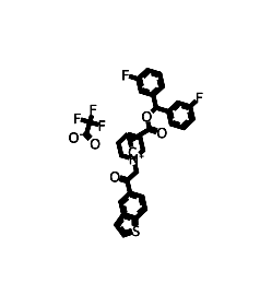 O=C(C[N+]12CCC(CC1)C(C(=O)OC(c1cccc(F)c1)c1cccc(F)c1)C2)c1ccc2sccc2c1.O=C([O-])C(F)(F)F